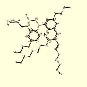 CCCCCC=CC(=Nc1cc(CCCC)cc(CCCC)c1)C(CCCCCCCC)=Nc1cc(CCCC)cc(CCCC)c1.[Pd]